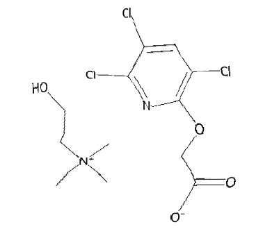 C[N+](C)(C)CCO.O=C([O-])COc1nc(Cl)c(Cl)cc1Cl